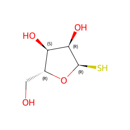 OC[C@H]1O[C@H](S)[C@H](O)[C@@H]1O